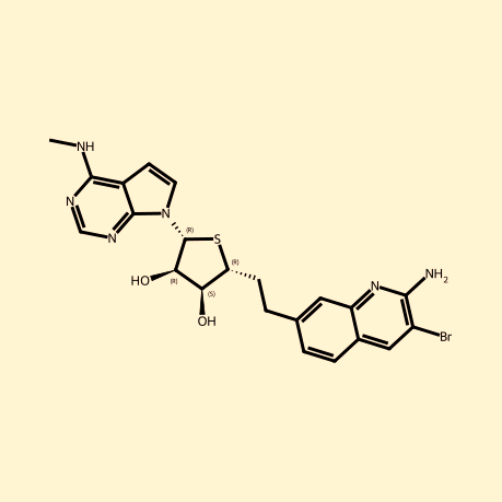 CNc1ncnc2c1ccn2[C@@H]1S[C@H](CCc2ccc3cc(Br)c(N)nc3c2)[C@@H](O)[C@H]1O